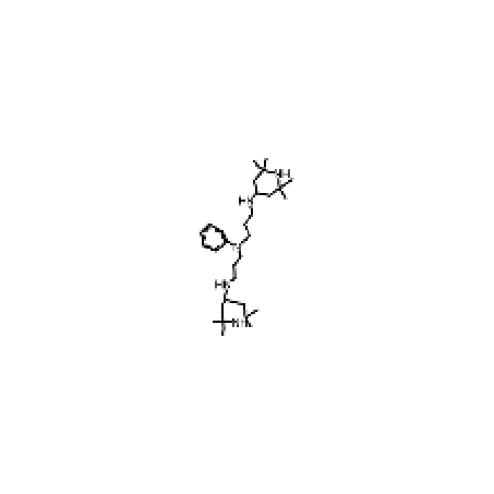 CC1(C)CC(NCCCN(CCCNC2CC(C)(C)NC(C)(C)C2)c2ccccc2)CC(C)(C)N1